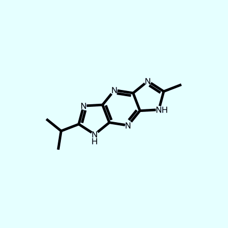 Cc1nc2nc3nc(C(C)C)[nH]c3nc2[nH]1